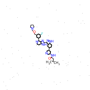 CC(C)CC(=O)Nc1cncc(-c2ccc3[nH]nc(-c4nc5c(-c6cc(F)cc(COCN7CCCC7)c6)nccc5[nH]4)c3c2)c1